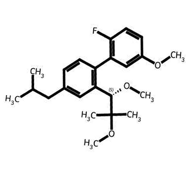 COc1ccc(F)c(-c2ccc(CC(C)C)cc2[C@H](OC)C(C)(C)OC)c1